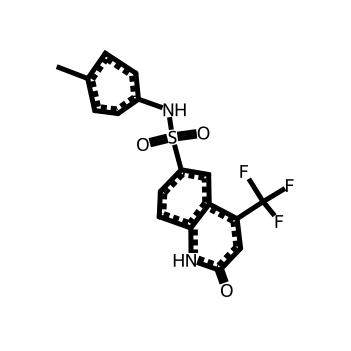 Cc1ccc(NS(=O)(=O)c2ccc3[nH]c(=O)cc(C(F)(F)F)c3c2)cc1